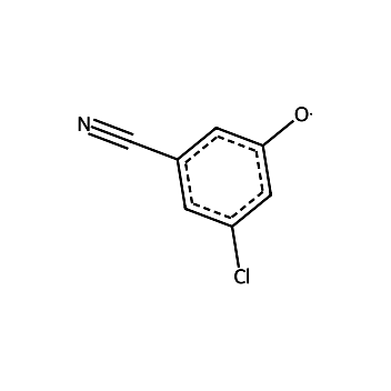 N#Cc1cc([O])cc(Cl)c1